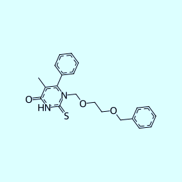 Cc1c(-c2ccccc2)n(COCCOCc2ccccc2)c(=S)[nH]c1=O